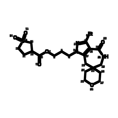 CCc1nn(CCCOC(=O)C2CCS(=O)(=O)C2)c2c1C(=O)NCC1(CCOCC1)C2